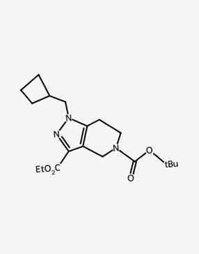 CCOC(=O)c1nn(CC2CCC2)c2c1CN(C(=O)OC(C)(C)C)CC2